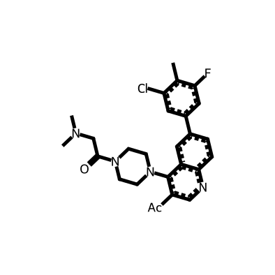 CC(=O)c1cnc2ccc(-c3cc(F)c(C)c(Cl)c3)cc2c1N1CCN(C(=O)CN(C)C)CC1